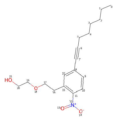 CCCCCCC#Cc1ccc([N+](=O)[O-])c(CCOCCO)c1